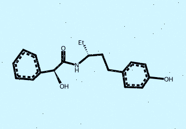 CC[C@H](CCc1ccc(O)cc1)NC(=O)[C@@H](O)c1ccccc1